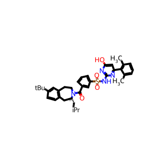 Cc1cccc(C)c1-c1cc(O)nc(NS(=O)(=O)c2cccc(C(=O)N3CCc4cc(C(C)(C)C)ccc4C[C@H]3CC(C)C)c2)n1